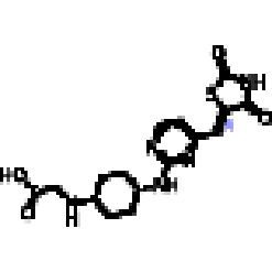 O=C1NC(=O)/C(=C/c2ccnc(N[C@H]3CC[C@H](NCS(=O)O)CC3)n2)S1